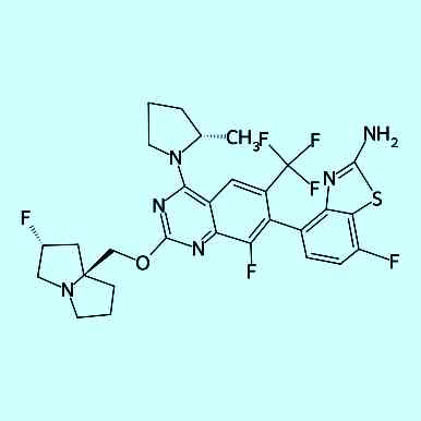 C[C@H]1CCCN1c1nc(OC[C@@]23CCCN2C[C@H](F)C3)nc2c(F)c(-c3ccc(F)c4sc(N)nc34)c(C(F)(F)F)cc12